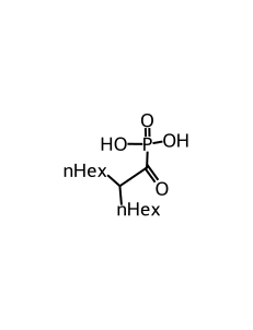 CCCCCCC(CCCCCC)C(=O)P(=O)(O)O